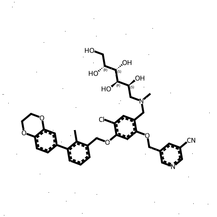 Cc1c(COc2cc(OCc3cncc(C#N)c3)c(CN(C)C[C@H](O)[C@@H](O)[C@@H](O)[C@H](O)CO)cc2Cl)cccc1-c1ccc2c(c1)OCCO2